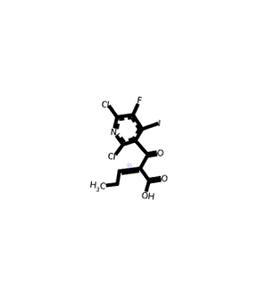 CC/C=C(\C(=O)O)C(=O)c1c(Cl)nc(Cl)c(F)c1I